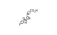 O=C(Nc1cncc(CN2CCC(C(=O)O)CC2)c1)c1ccc(F)cc1